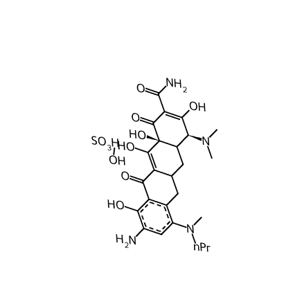 CCCN(C)c1cc(N)c(O)c2c1CC1CC3[C@H](N(C)C)C(O)=C(C(N)=O)C(=O)[C@@]3(O)C(O)=C1C2=O.O=S(=O)(O)O